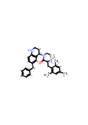 CCN(C(=O)C(N)Cc1c(C)cc(C)cc1C)C1CCNc2ccc(Cc3ccccc3)cc21